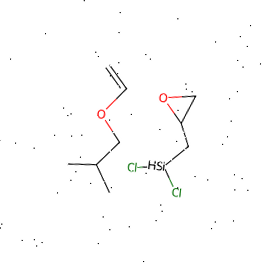 C=COCC(C)C.Cl[SiH](Cl)CC1CO1